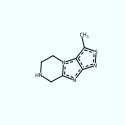 Cc1snc2nc3n(c12)CCNC3